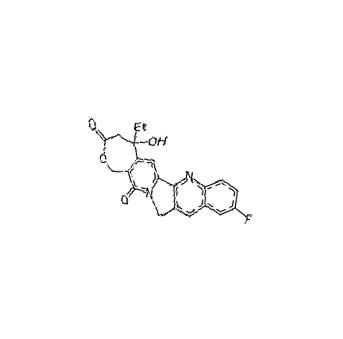 CCC1(O)CC(=O)OCc2c1cc1n(c2=O)Cc2cc3cc(F)ccc3nc2-1